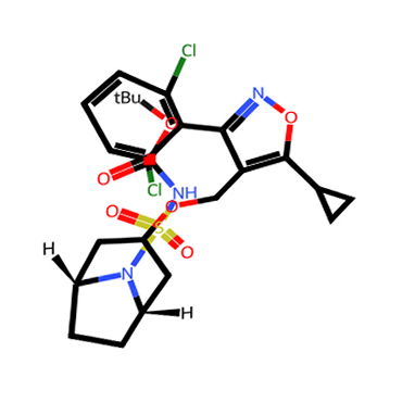 CC(C)(C)OC(=O)NS(=O)(=O)N1[C@@H]2CC[C@H]1CC(OCc1c(-c3c(Cl)cccc3Cl)noc1C1CC1)C2